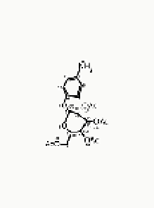 CC(=O)OC[C@H]1O[C@@H](Oc2ccc(N)cc2)[C@H](OC(C)=O)[C@@H](OC(C)=O)[C@H]1OC(C)=O